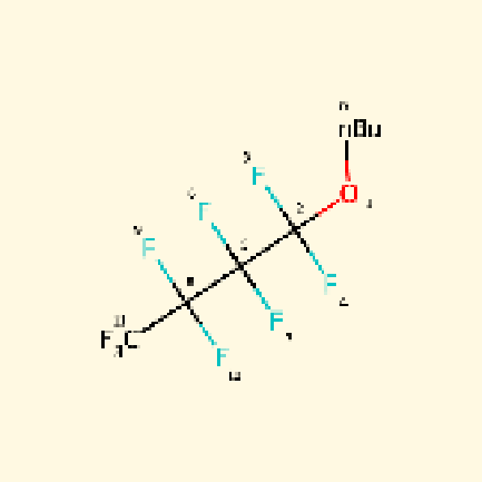 CCCCOC(F)(F)C(F)(F)C(F)(F)C(F)(F)F